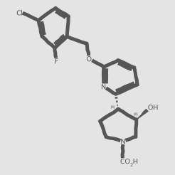 O=C(O)N1CC[C@H](c2cccc(OCc3ccc(Cl)cc3F)n2)[C@@H](O)C1